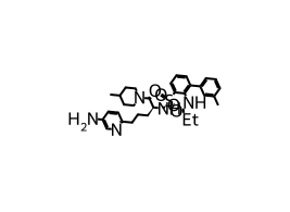 CCC(=O)Nc1c(-c2cccc(C)c2)cccc1S(=O)(=O)N[C@@H](CCCc1ccc(N)cn1)C(=O)N1CCC(C)CC1